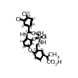 CC(C(=O)O)c1ccc(Oc2ccc(NC(=O)c3ccc(Cl)c(Cl)c3)cc2)c(CNS(C)(=O)=O)c1